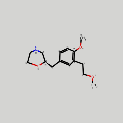 COCCc1cc(C[C@@H]2CNCCO2)ccc1OC